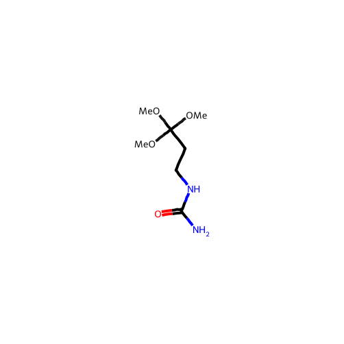 COC(CCNC(N)=O)(OC)OC